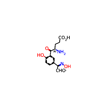 N[C@H](CCC(=O)O)C(=O)c1cc(C([C]=O)=NO)ccc1O